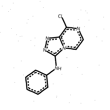 Clc1nccn2c(Nc3ccccc3)nnc12